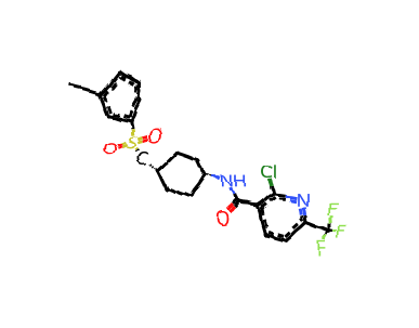 Cc1cccc(S(=O)(=O)C[C@H]2CC[C@H](NC(=O)c3ccc(C(F)(F)F)nc3Cl)CC2)c1